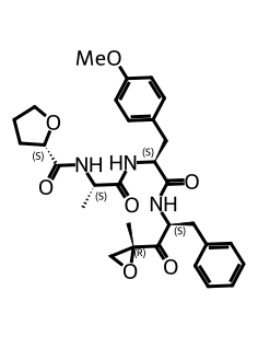 COc1ccc(C[C@H](NC(=O)[C@H](C)NC(=O)[C@@H]2CCCO2)C(=O)N[C@@H](Cc2ccccc2)C(=O)[C@@]2(C)CO2)cc1